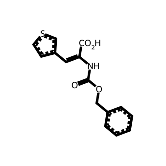 O=C(NC(=Cc1ccsc1)C(=O)O)OCc1ccccc1